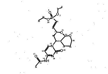 CCOP(=O)(/C=C/[C@H](CCn1ccc(NC(C)=O)nc1=O)O[C@@H]1CCCCO1)OCC